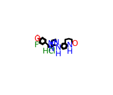 COc1ccc(-c2cnc3c(Nc4ccc5c(c4)CCCC(=O)N5)nccn23)cc1F.Cl